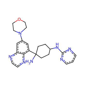 NC1(c2cc(N3CCOCC3)cc3nccnc23)CCC(Nc2ncccn2)CC1